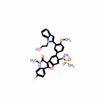 CNC(=O)c1c(-c2ccc(F)cc2)oc2cc(N(C)S(C)(=O)=O)c(-c3ccc(OC)c(-c4cc5ccccc5n4CCO)c3)cc12